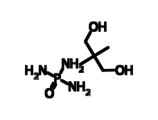 CC(C)(CO)CO.NP(N)(N)=O